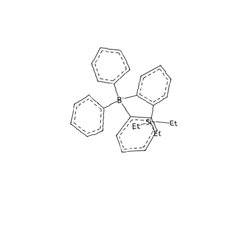 CC[Si](CC)(CC)c1ccccc1[B-](c1ccccc1)(c1ccccc1)c1ccccc1